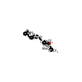 COc1ncc(C(F)(F)F)cc1CNC(=O)[C@@](O)(c1ccc(OCCC(=O)N2CCN(C(=O)c3cc(Cc4n[nH]c(=O)c5ccccc45)ccc3F)CC2)cc1)C(F)(F)C(F)(F)F